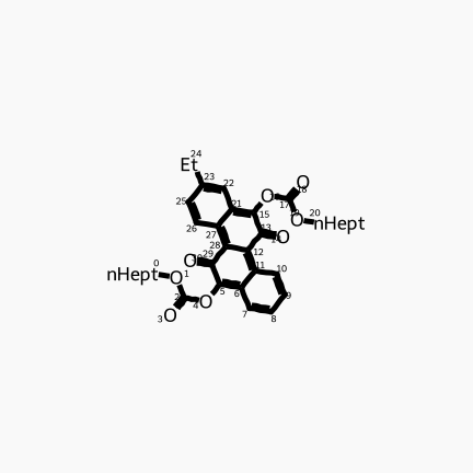 CCCCCCCOC(=O)OC1=c2ccccc2=C2C(=O)C(OC(=O)OCCCCCCC)=c3cc(CC)ccc3=C2C1=O